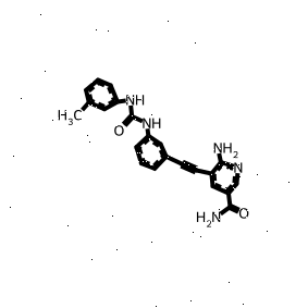 Cc1cccc(NC(=O)Nc2cccc(C#Cc3cc(C(N)=O)cnc3N)c2)c1